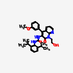 COc1cccc(-c2c(NC(=O)Nc3c(C(C)C)cccc3C(C)C)c(=O)n(CCO)c3ncccc23)c1